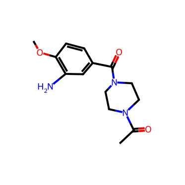 COc1ccc(C(=O)N2CCN(C(C)=O)CC2)cc1N